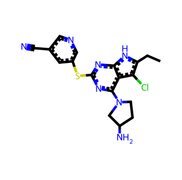 CCc1[nH]c2nc(Sc3cncc(C#N)c3)nc(N3CCC(N)C3)c2c1Cl